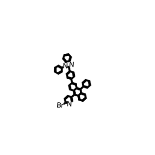 Brc1ccc(-c2c3ccccc3c(-c3ccccc3)c3cc(-c4ccc(-c5nc6ccccc6n5-c5ccccc5)cc4)ccc23)cn1